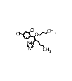 CCCCOC(=C(CCCC)n1cncn1)c1ccc(Cl)cc1Cl